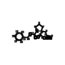 C=CCC1(C(=O)OC)CCCN1C(=O)OCc1ccccc1